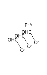 O=C[O-].O=C[O-].O=C[O-].[P+3]